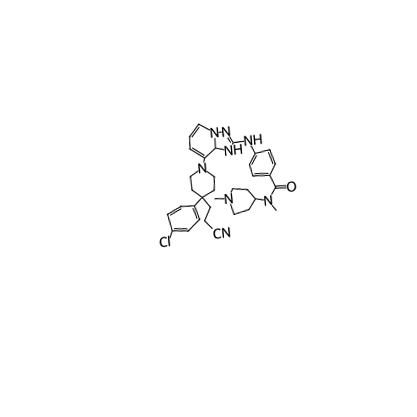 CN1CCC(N(C)C(=O)c2ccc(NC3=NN4C=CC=C(N5CCC(CCC#N)(c6ccc(Cl)cc6)CC5)C4N3)cc2)CC1